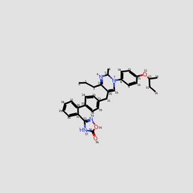 CCCC1=NC(C)N(c2ccc(OC(C)CC)cc2)C=C1Cc1ccc(-c2ccccc2-c2noc(=O)[nH]2)cc1